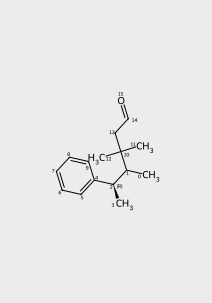 CC([C@@H](C)c1ccccc1)C(C)(C)CC=O